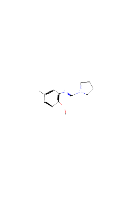 COc1ccc(C)cc1N=CN1CCCC1